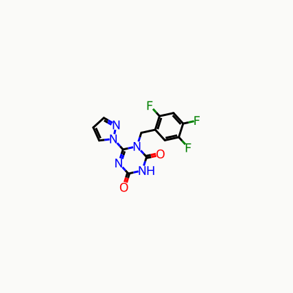 O=c1nc(-n2cccn2)n(Cc2cc(F)c(F)cc2F)c(=O)[nH]1